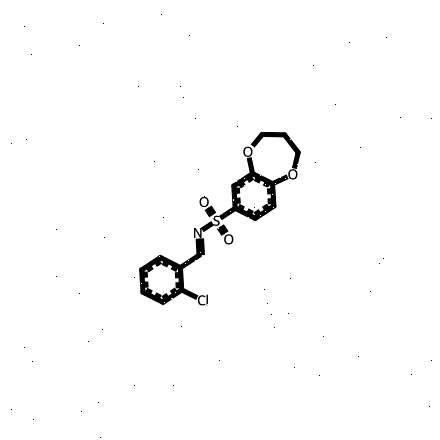 O=S(=O)(/N=C/c1ccccc1Cl)c1ccc2c(c1)OCCCO2